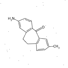 Cc1ccc2c(c1)C(=O)c1ccc(N)cc1CC2